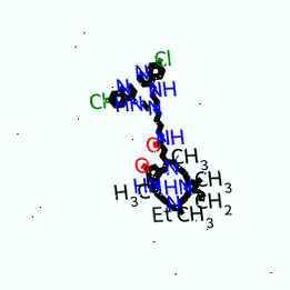 C=Cc1c(C)c2cc3nc(c4c5[nH]c(cc6nc(cc1[nH]2)C(C)=C6CC)c(C)c5C(=O)C4)C(CCC(=O)NCCCCN(CCNc1ccnc2cc(Cl)ccc12)CCNc1ccnc2cc(Cl)ccc12)[C@@H]3C